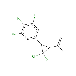 C=C(C)C1C(c2cc(F)c(F)c(F)c2)C1(Cl)Cl